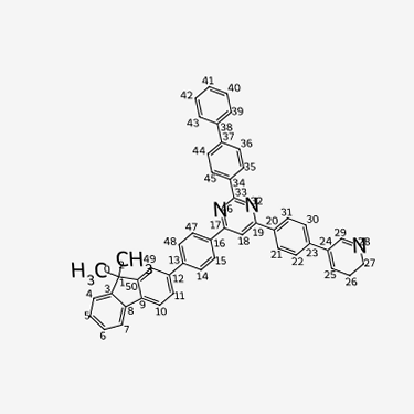 CC1(C)c2ccccc2-c2ccc(-c3ccc(-c4cc(-c5ccc(C6=CCCN=C6)cc5)nc(-c5ccc(-c6ccccc6)cc5)n4)cc3)cc21